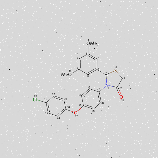 COc1cc(OC)cc(C2SCC(=O)N2c2ccc(Oc3ccc(Cl)cc3)cc2)c1